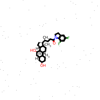 C[C@H](CCC(=O)N1CCc2cc(F)cc(F)c21)[C@H]1CC[C@H]2[C@@H]3[C@H](O)C[C@@H]4C[C@H](O)CC[C@]4(C)[C@H]3CC[C@]12C